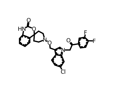 O=C1Nc2ccccc2C2(CCN(OCc3cn(CC(=O)c4ccc(F)c(F)c4)c4cc(Cl)ccc34)CC2)O1